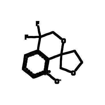 [O-][n+]1cccc2c1C1(CCOC1)OCC2(F)F